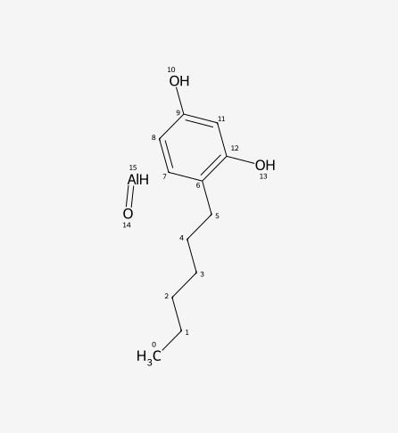 CCCCCCc1ccc(O)cc1O.[O]=[AlH]